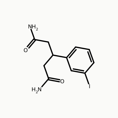 NC(=O)CC(CC(N)=O)c1cccc(I)c1